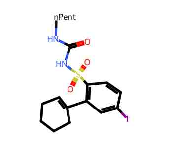 CCCCCNC(=O)NS(=O)(=O)c1ccc(I)cc1C1=CCCCC1